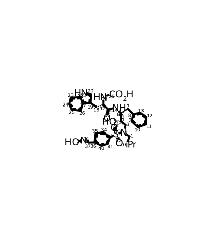 CC(C)CN(C[C@H](O)[C@H](Cc1ccccc1)NC(=O)[C@H](Cc1c[nH]c2ccccc12)NC(=O)O)S(=O)(=O)c1ccc(C=NO)cc1